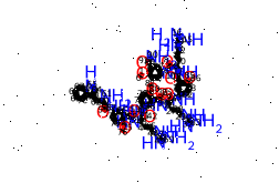 COc1ccc(NC(=O)[C@@H](CCCNC(=N)N)NC(=O)c2cc(NC(=O)[C@@H](CCCNC(=N)N)NC(=O)c3cc(NC(=O)[C@@H](CCCNC(=N)N)NC(=O)c4cc(NC(=O)[C@H](N)Cc5c[nH]c6ccccc56)ccc4OC)ccc3OC)ccc2OC)cc1C(N)=O